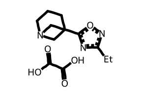 CCc1noc(C23CCCN(C2)C3)n1.O=C(O)C(=O)O